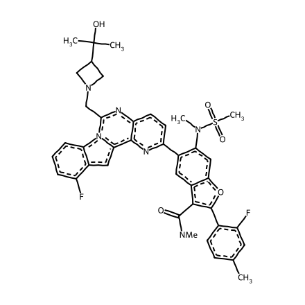 CNC(=O)c1c(-c2ccc(C)cc2F)oc2cc(N(C)S(C)(=O)=O)c(-c3ccc4nc(CN5CC(C(C)(C)O)C5)n5c6cccc(F)c6cc5c4n3)cc12